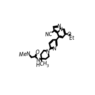 CCOc1cc(-c2ccc(N3CCC(C)(NC(=O)CNC)CC3)nc2)c2c(C#N)cnn2c1